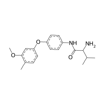 COc1cc(Oc2ccc(NC(=O)C(N)C(C)C)cc2)ccc1C